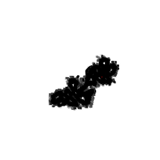 c1ccc([Si](c2ccccc2)(c2ccccc2)c2ccc3c4c(cccc24)-c2ccc(-c4c5ccccc5c(-c5ccc6c7c(cccc57)Oc5ccccc5-6)c5ccccc45)cc2O3)cc1